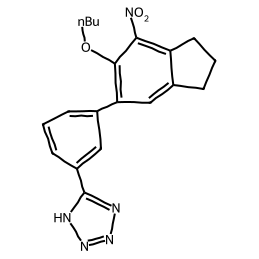 CCCCOc1c(-c2cccc(-c3nnn[nH]3)c2)cc2c(c1[N+](=O)[O-])CCC2